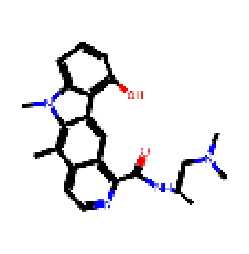 Cc1c2ccnc(C(=O)N[C@H](C)CN(C)C)c2cc2c3c(O)cccc3n(C)c12